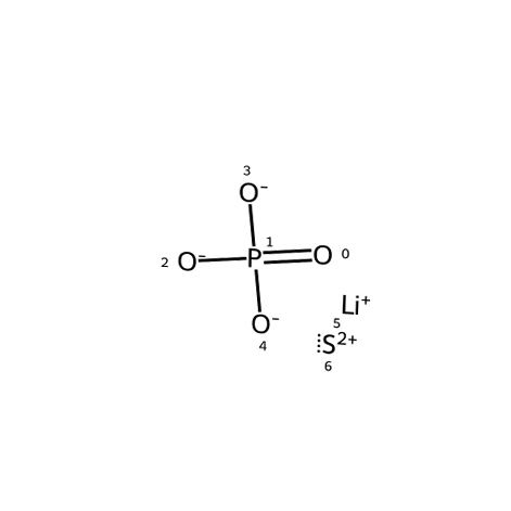 O=P([O-])([O-])[O-].[Li+].[S+2]